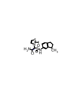 CC1CCc2ccc(NS(=O)(=O)/C(=C(/N)Cl)N3C=CSC3I)cc21